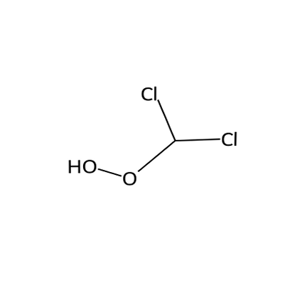 OOC(Cl)Cl